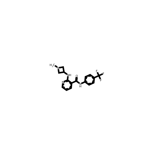 CN1CC(Nc2ncccc2C(=O)Nc2ccc(C(F)(F)F)cc2)C1